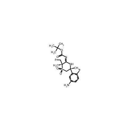 CC(C)(C)OC(=O)/N=C1/N[C@](C)(c2cc(N)ccc2F)CS(=O)(=O)[C@]1(C)CF